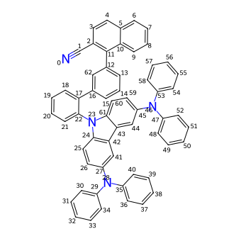 N#Cc1ccc2ccccc2c1-c1cccc(-c2ccccc2-n2c3ccc(N(c4ccccc4)c4ccccc4)cc3c3cc(N(c4ccccc4)c4ccccc4)ccc32)c1